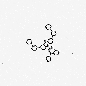 c1ccc(-c2cccc(-c3ccc4c(c3)Sc3cc(-c5cccc(-c6ccccc6)c5)ccc3N4c3nc(-c4ccccc4)c4ccccc4n3)c2)cc1